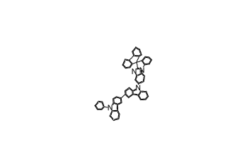 c1ccc(-n2c3ccccc3c3cc(-c4ccc5c(c4)c4ccccc4n5-c4ccc5c(c4)nc4n5-c5ccccc5C45c4ccccc4-c4ccccc45)ccc32)cc1